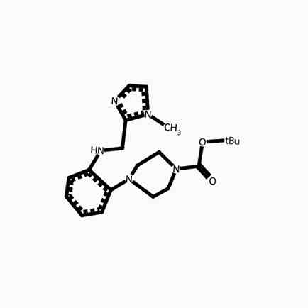 Cn1ccnc1CNc1ccccc1N1CCN(C(=O)OC(C)(C)C)CC1